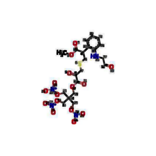 COC(=O)C(CSCC(=O)C(=O)OCC(CO[N+](=O)[O-])(CO[N+](=O)[O-])CO[N+](=O)[O-])c1ccccc1NCC=O